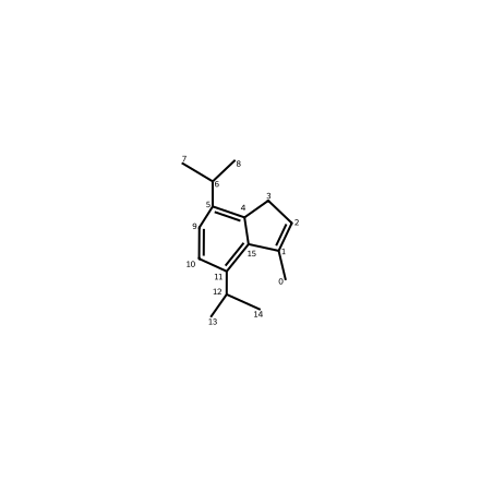 CC1=CCc2c(C(C)C)ccc(C(C)C)c21